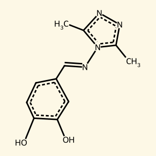 Cc1nnc(C)n1/N=C/c1ccc(O)c(O)c1